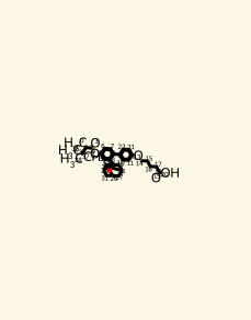 C=C(C(=O)Oc1ccc(-c2ccc(OCCCCC(=O)O)cc2)c(C23CC4CC(CC(C4)C2)C3)c1)C(C)(C)C